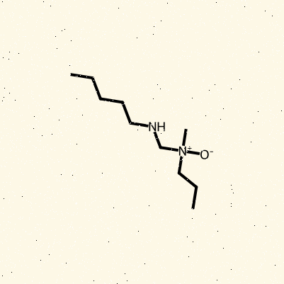 CCCCCNC[N+](C)([O-])CCC